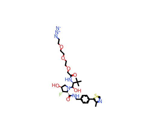 Cc1ncsc1-c1ccc(CNC(=O)[C@@H]2[C@H](F)[C@@H](O)CN2C(O)[C@@H](NC(=O)COCCOCCOCCN=[N+]=[N-])C(C)(C)C)cc1